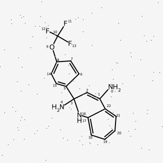 NC1=CC(N)(c2ccc(OC(F)(F)F)cc2)Nc2ccccc21